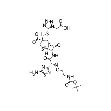 CC(C)(C)OC(=O)NCCON=C(C(=O)NC1C(=O)N2CC(CSc3nnnn3CC(=O)O)(C(=O)O)CS[C@H]12)c1nsc(N)n1